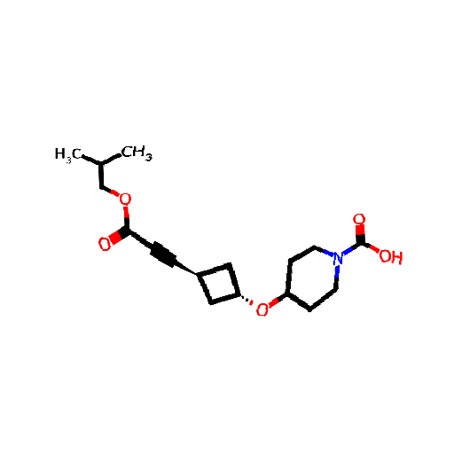 CC(C)COC(=O)C#C[C@H]1C[C@H](OC2CCN(C(=O)O)CC2)C1